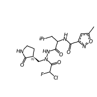 Cc1cc(C(=O)NC(CC(C)C)C(=O)NN(C[C@@H]2CCNC2=O)C(=O)C(F)Cl)no1